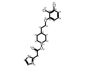 O=C(Cc1nccs1)ON1CCC(CCOc2cccc(Cl)c2Cl)CC1